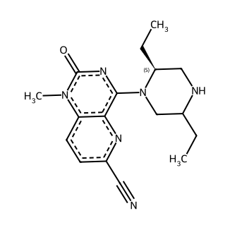 CCC1CN(c2nc(=O)n(C)c3ccc(C#N)nc23)[C@@H](CC)CN1